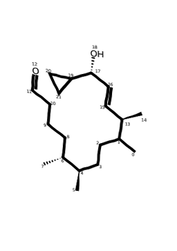 CC(CC[C@@H](C)[C@H](C)CCCC=O)[C@H](C)/C=C/[C@@H](O)C1CC1